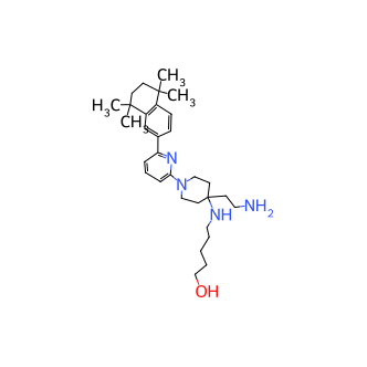 CC1(C)CCC(C)(C)c2cc(-c3cccc(N4CCC(CCN)(NCCCCCO)CC4)n3)ccc21